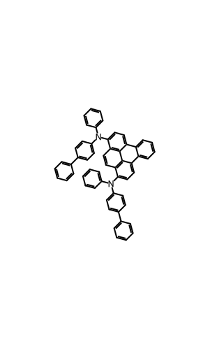 c1ccc(-c2ccc(N(c3ccccc3)c3ccc4c5ccccc5c5ccc(N(c6ccccc6)c6ccc(-c7ccccc7)cc6)c6ccc3c4c65)cc2)cc1